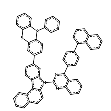 c1ccc(N2c3ccccc3Sc3cc(-c4ccc5c6c7ccccc7ccc6n(-c6nc(-c7ccc(-c8cccc9ccccc89)cc7)c7ccccc7n6)c5c4)ccc32)cc1